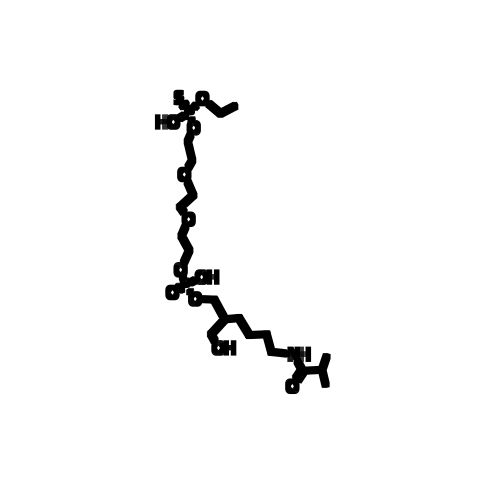 CCOP(O)(=S)OCCOCCOCCOP(=O)(O)OCC(CO)CCCCNC(=O)C(C)C